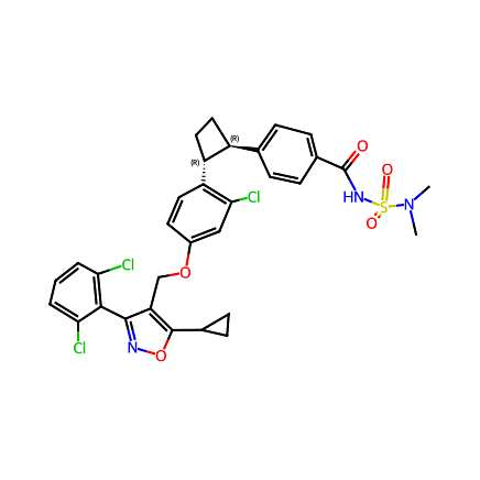 CN(C)S(=O)(=O)NC(=O)c1ccc([C@@H]2CC[C@H]2c2ccc(OCc3c(-c4c(Cl)cccc4Cl)noc3C3CC3)cc2Cl)cc1